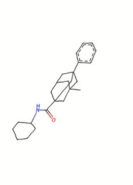 CC12CC3CC(C(=O)NC4CCCCC4)(C1)CC(c1ccccc1)(C3)C2